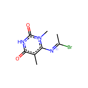 C/C(Br)=N\c1c(C)c(=O)[nH]c(=O)n1C